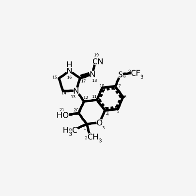 CC1(C)Oc2ccc(SC(F)(F)F)cc2C(N2CCN/C2=N\C#N)C1O